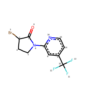 O=C1C(Br)CCN1c1cc(C(F)(F)F)ccn1